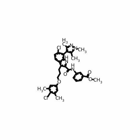 COC(=O)c1cccc(NC(=O)c2[nH]c3c(-c4c(C)nn(C)c4C)c(Cl)ccc3c2CCCOc2cc(C)c(Cl)c(C)c2)c1